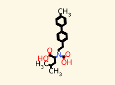 Cc1ccc(-c2ccc(CCN(C(=O)O)C(CC(C)C)C(=O)O)cc2)cc1